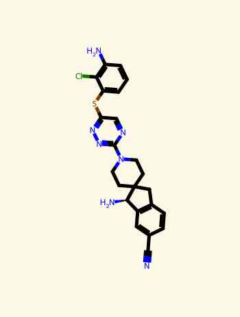 N#Cc1ccc2c(c1)[C@@H](N)C1(CCN(c3ncc(Sc4cccc(N)c4Cl)nn3)CC1)C2